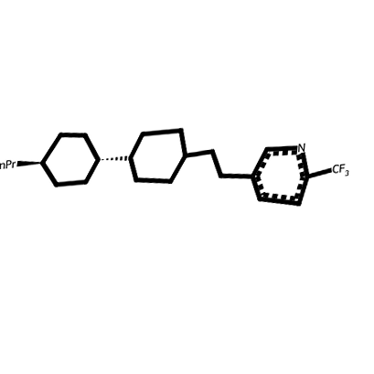 CCC[C@H]1CC[C@H](C2CCC(CCc3ccc(C(F)(F)F)nc3)CC2)CC1